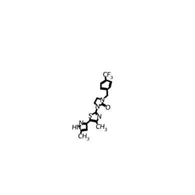 Cc1cc(-c2sc(N3CCN(Cc4ccc(C(F)(F)F)cc4)C3=O)nc2C)n[nH]1